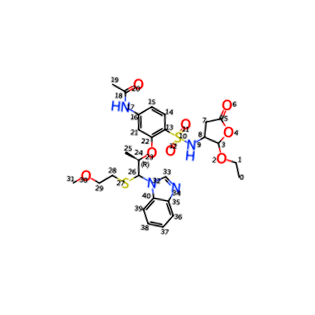 CCOC1OC(=O)CC1NS(=O)(=O)c1ccc(NC(C)=O)cc1O[C@H](C)C(SCCOC)n1cnc2ccccc21